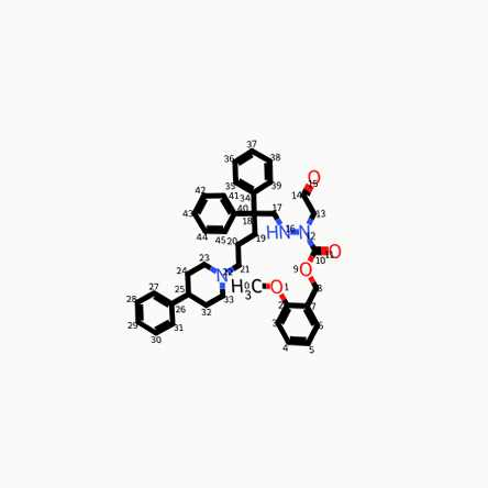 COc1ccccc1COC(=O)N(CC=O)NCC(CCCN1CCC(c2ccccc2)CC1)(c1ccccc1)c1ccccc1